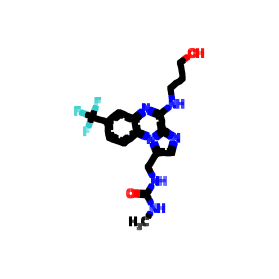 CNC(=O)NCc1cnc2c(NCCCO)nc3cc(C(F)(F)F)ccc3n12